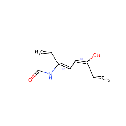 C=C/C(O)=C\C=C(/C=C)NC=O